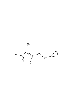 Cc1csc(CCC2CC2)c1C(C)C